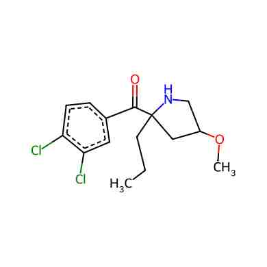 CCCC1(C(=O)c2ccc(Cl)c(Cl)c2)CC(OC)CN1